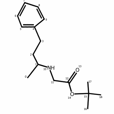 CC(CCc1ccccc1)NCC(=O)OC(C)(C)C